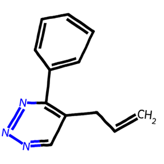 C=CCc1cnnnc1-c1ccccc1